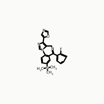 C[Si](C)(C)c1ccc2c(c1)C(c1ccccc1F)=NCc1c(-c3cnco3)ncn1-2